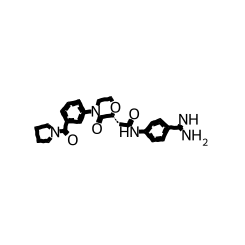 N=C(N)c1ccc(NC(=O)C[C@H]2OCCN(c3cccc(C(=O)N4CCCC4)c3)C2=O)cc1